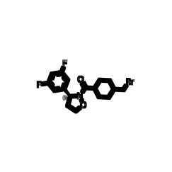 O=C(C1CCC(CBr)CC1)N1OCC[C@H]1c1cc(F)cc(F)c1